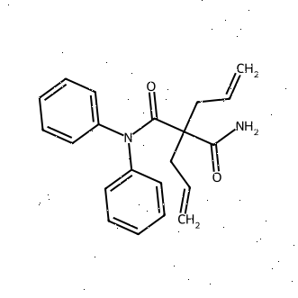 C=CCC(CC=C)(C(N)=O)C(=O)N(c1ccccc1)c1ccccc1